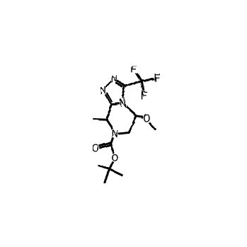 COC1CN(C(=O)OC(C)(C)C)C(C)c2nnc(C(F)(F)F)n21